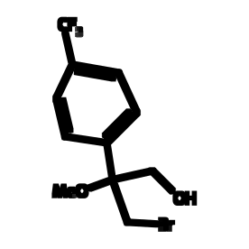 COC(CO)(CBr)c1ccc(C(F)(F)F)cc1